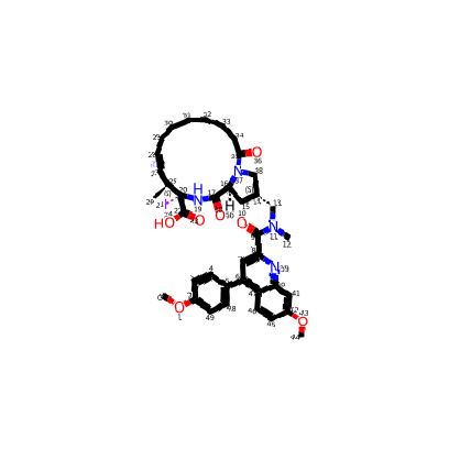 COc1ccc(-c2cc(C(=O)N(C)C[C@@H]3C[C@H]4C(=O)N[C@@](I)(C(=O)O)[C@@H](C)/C=C\CCCCCCC(=O)N4C3)nc3cc(OC)ccc23)cc1